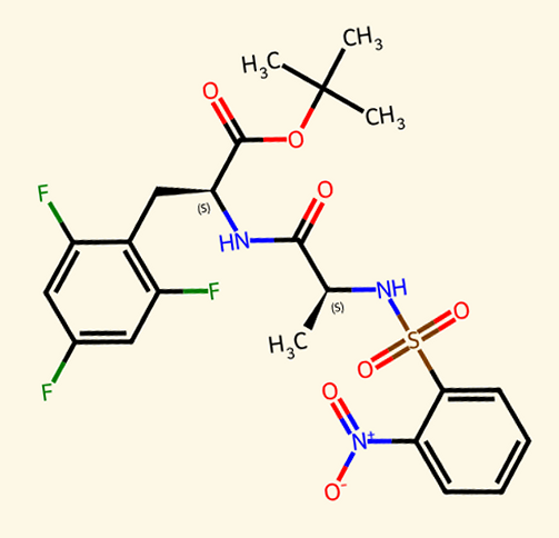 C[C@H](NS(=O)(=O)c1ccccc1[N+](=O)[O-])C(=O)N[C@@H](Cc1c(F)cc(F)cc1F)C(=O)OC(C)(C)C